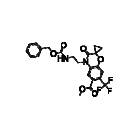 COC(=O)c1cc2c(cc1C(F)(F)F)OC1(CC1)C(=O)N2CCNC(=O)OCc1ccccc1